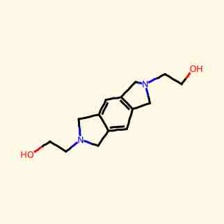 OCCN1Cc2cc3c(cc2C1)CN(CCO)C3